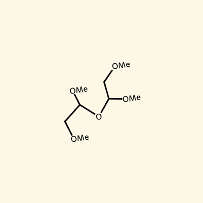 COCC(OC)OC(COC)OC